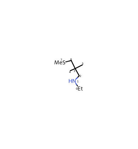 CCNCC(C)(C)CSC